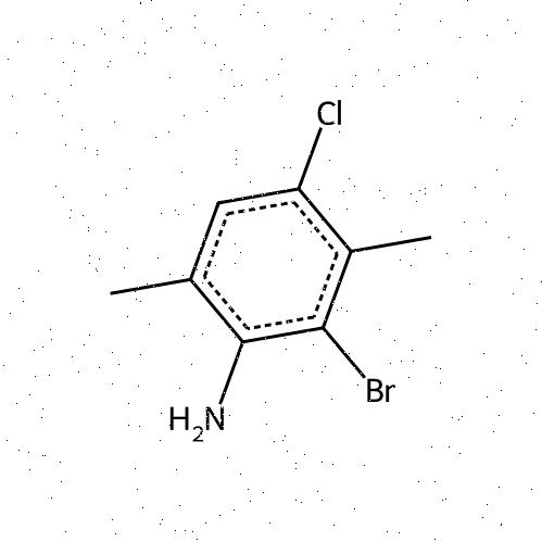 Cc1cc(Cl)c(C)c(Br)c1N